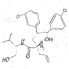 C=CC[C@@](N)(C[C@H](c1cccc(Cl)c1)[C@@H](O)c1ccc(Cl)cc1)C(=O)N[C@H](CO)C(C)C